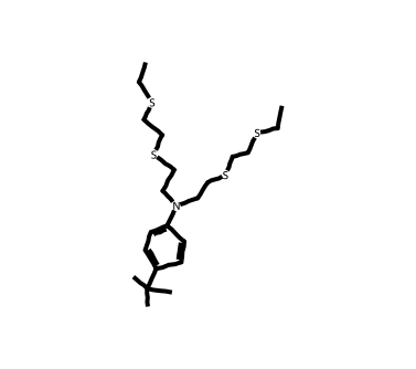 CCSCCSCCN(CCSCCSCC)c1ccc(C(C)(C)C)cc1